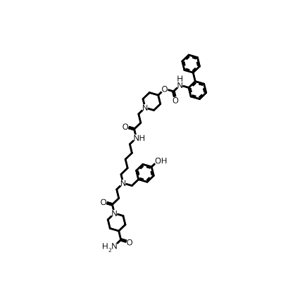 NC(=O)C1CCN(C(=O)CCN(CCCCCNC(=O)CCN2CCC(OC(=O)Nc3ccccc3-c3ccccc3)CC2)Cc2ccc(O)cc2)CC1